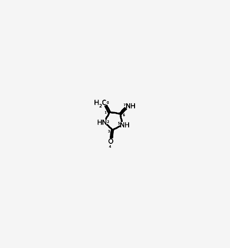 C=C1NC(=O)NC1=N